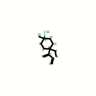 C=CC(=C)C1(CC)CCC(C)(F)CC1